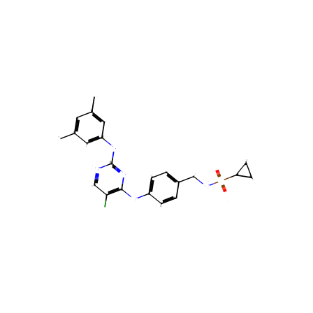 Cc1cc(C)cc(Nc2ncc(F)c(Nc3ccc(CNS(=O)(=O)C4CC4)cc3)n2)c1